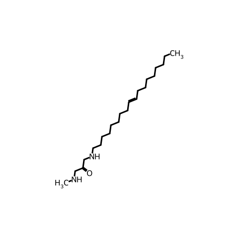 CCCCCCCC/C=C/CCCCCCCCNCC(=O)CNC